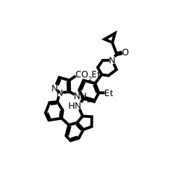 CCOC(=O)c1cnn(-c2cccc(-c3cccc4c3C(Nc3ccc(C5CCN(C(=O)C6CC6)CC5)c(CC)c3)CC4)c2)c1N